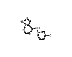 Clc1cccc(Nc2ncnc3[nH]ncc23)c1